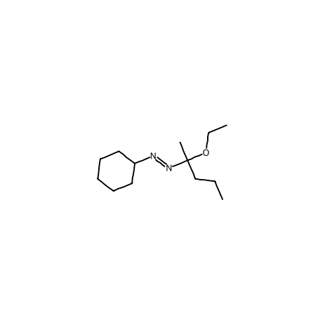 CCCC(C)(N=NC1CCCCC1)OCC